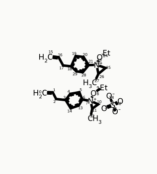 C=CCc1ccc([N+]2(OCC)CC2C)cc1.C=CCc1ccc([N+]2(OCC)CC2C)cc1.O=S(=O)([O-])[O-]